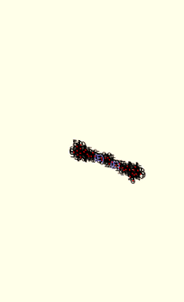 Cc1ccc(N(c2ccc3c(c2)C(C)(C)c2cc(/C=C/c4ccc5c(c4)C(C)(C)c4cc(/C=C/c6ccc7c(c6)C(C)(C)c6cc(N(c8ccc(C)cc8)c8nccc9ccccc89)ccc6-7)ccc4-5)ccc2-3)c2nccc3ccccc23)cc1